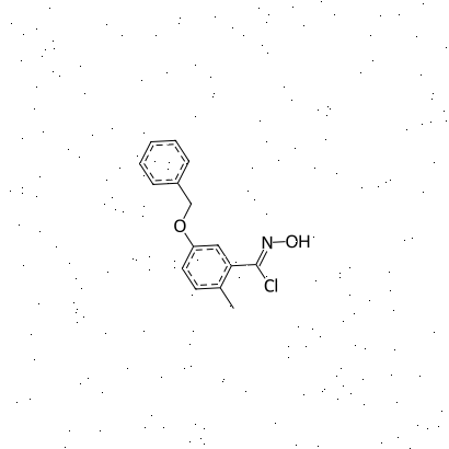 Cc1ccc(OCc2ccccc2)cc1/C(Cl)=N/O